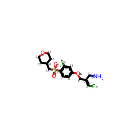 NC/C(=C\F)COc1ccc(S(=O)(=O)CC2CCOCC2)c(F)c1